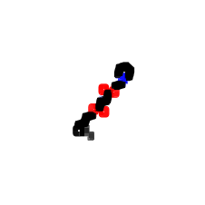 CCCCCOC(=O)/C=C/C(=O)OCCN1CCCCC1